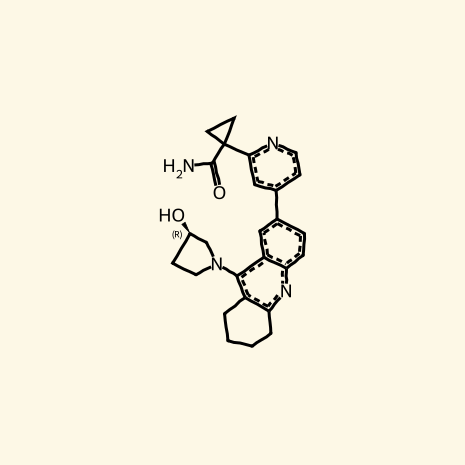 NC(=O)C1(c2cc(-c3ccc4nc5c(c(N6CC[C@@H](O)C6)c4c3)CCCC5)ccn2)CC1